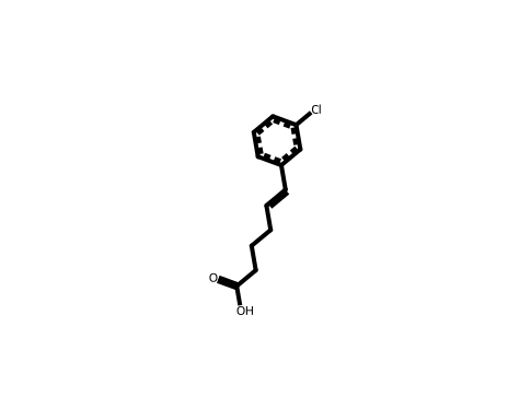 O=C(O)CCC/C=C/c1cccc(Cl)c1